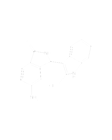 Nc1ccc2c(c1)C(c1c(C=O)[nH]c3ccccc13)NC2=O